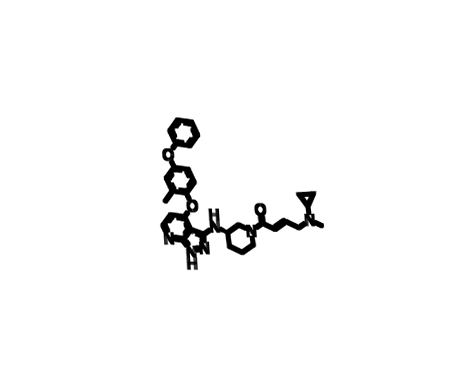 Cc1cc(Oc2ccccc2)ccc1Oc1ccnc2[nH]nc(N[C@@H]3CCCN(C(=O)C=CCN(C)C4CC4)C3)c12